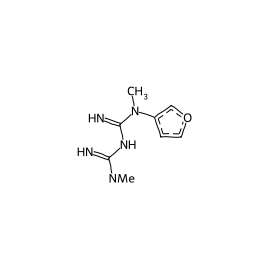 CNC(=N)NC(=N)N(C)c1ccoc1